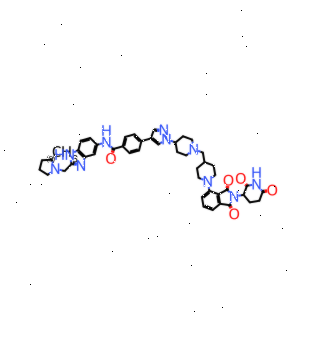 C[C@H]1CCCN1Cc1nc2cc(NC(=O)c3ccc(-c4cnn(C5CCN(CC6CCN(c7cccc8c7C(=O)N(C7CCC(=O)NC7=O)C8=O)CC6)CC5)c4)cc3)ccc2[nH]1